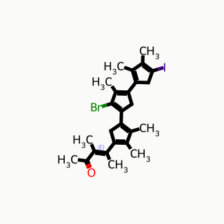 CC(=O)/C(C)=C(\C)C1=C(C)C(C)=C(C2=C(Br)C(C)=C(C3=C(C)C(C)=C(I)C3)C2)C1